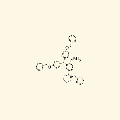 NCc1ccc(C2CCCCN2Cc2ccccc2)cc1C(c1ccc(OCc2ccccc2)cc1)c1ccc(OCc2ccccc2)cc1